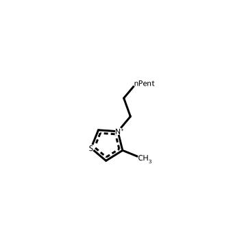 CCCCCCC[n+]1cscc1C